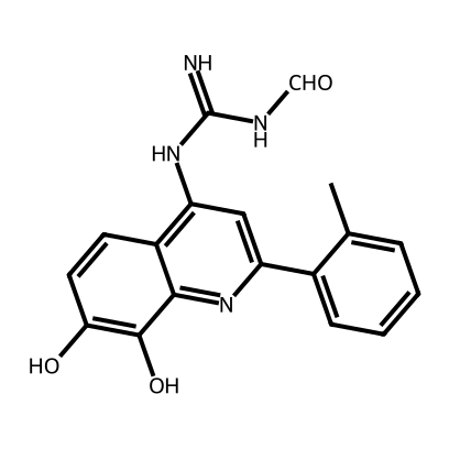 Cc1ccccc1-c1cc(NC(=N)NC=O)c2ccc(O)c(O)c2n1